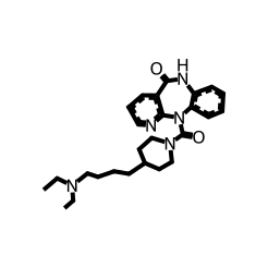 CCN(CC)CCCCC1CCN(C(=O)N2c3ccccc3NC(=O)c3cccnc32)CC1